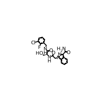 NC(=O)c1nn(CC(=O)N[C@@H](CO)C(=O)NCc2cccc(Cl)c2F)c2ccccc12